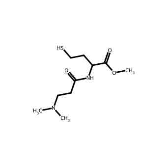 COC(=O)C(CCS)NC(=O)CCN(C)C